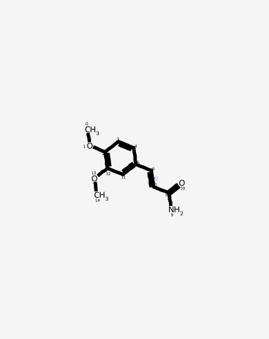 COc1ccc(/C=C/C(N)=O)cc1OC